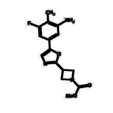 COC(=O)N1CC(c2ncc(-c3cc(N)c(C)c(F)c3)o2)C1